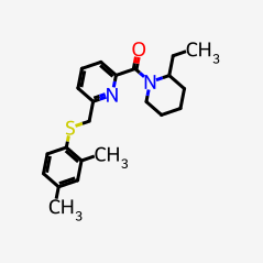 CCC1CCCCN1C(=O)c1cccc(CSc2ccc(C)cc2C)n1